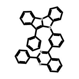 c1ccc(-c2nc(-c3cccc(-n4c5ccccc5n5c6ccccc6c(-c6ccccc6)c45)c3)c3ccccc3n2)cc1